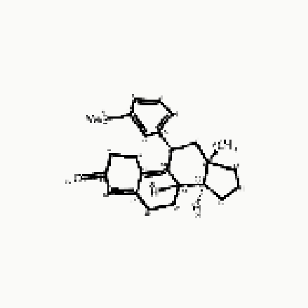 CSc1cccc([C@H]2C[C@]3(C)CCC[C@H]3[C@@H]3CCC4=CC(=O)CCC4=C32)c1